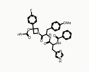 CCCC(=O)OC1(c2ccc(F)cc2)CN(C(=O)C(Cc2ccc(OC)cc2)NC(=O)C(Cc2c[nH]cn2)NC(=O)c2ccccc2)C1